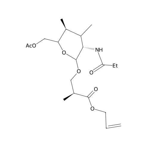 C=CCOC(=O)[C@@H](C)COC1OC(COC(C)=O)[C@@H](C)C(C)[C@@H]1NC(=O)CC